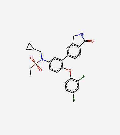 CCS(=O)(=O)N(CC1CC1)c1ccc(Oc2ccc(F)cc2F)c(-c2ccc3c(c2)CNC3=O)c1